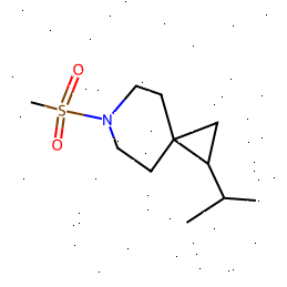 CC(C)C1CC12CCN(S(C)(=O)=O)CC2